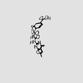 Cc1cc2c(C)nc(NC(=O)NS(=O)(=O)C3C=CC(C(=O)O)=CC3=S)nc2o1